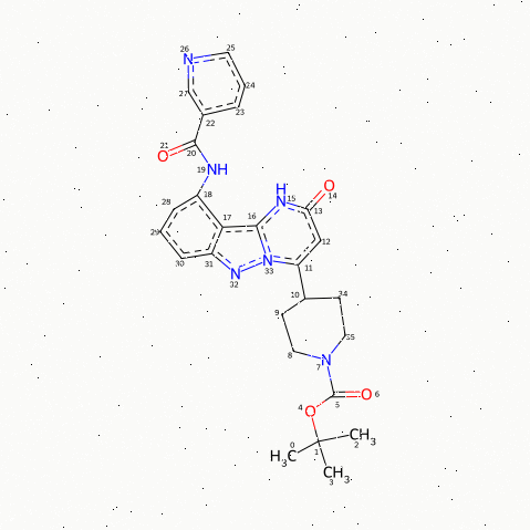 CC(C)(C)OC(=O)N1CCC(c2cc(=O)[nH]c3c4c(NC(=O)c5cccnc5)cccc4nn23)CC1